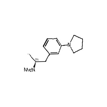 [CH2][C@@H](Cc1cccc(N2CCCC2)c1)NC